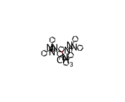 Cc1cc(-c2nc(-c3ccccc3)nc(-c3ccccc3)n2)ccc1-n1c2ccccc2c2ccc3c4c(nc(-c5ccccc5)n4-c4ccccc4)n(-c4ccccc4)c3c21